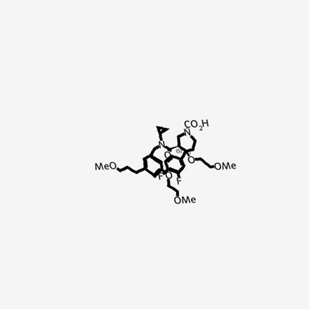 COCCCc1cc(CN(C(=O)[C@H]2CN(C(=O)O)CC[C@]2(OCCOC)c2ccc(F)c(F)c2)C2CC2)cc(OCCOC)c1